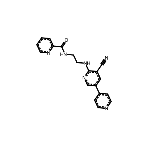 N#Cc1cc(-c2ccncc2)cnc1NCCNC(=O)c1ccccn1